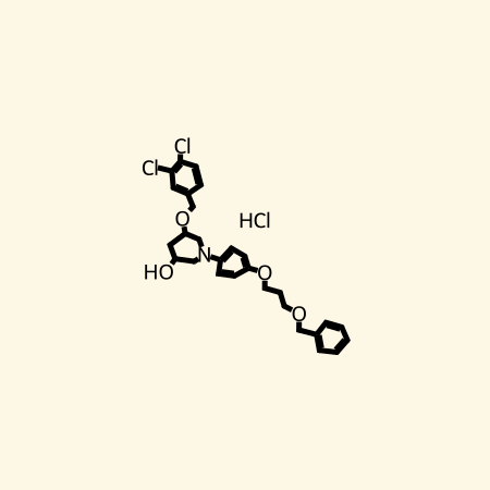 Cl.OC1CC(OCc2ccc(Cl)c(Cl)c2)CN(c2ccc(OCCCOCc3ccccc3)cc2)C1